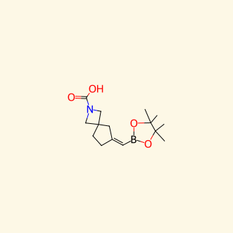 CC1(C)OB(/C=C2/CCC3(C2)CN(C(=O)O)C3)OC1(C)C